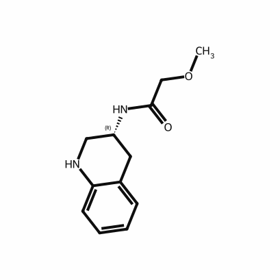 COCC(=O)N[C@H]1CNc2ccccc2C1